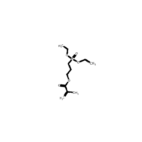 C=C(C)C(=O)OCCCP(=O)(OCC)OCC